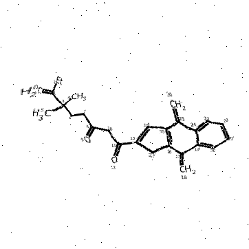 C=C(CC)C(C)(C)CCC(=O)CC(=O)C1=Cc2c(c(=C)c3ccccc3c2=C)C1